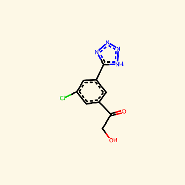 O=C(CO)c1cc(Cl)cc(-c2nnn[nH]2)c1